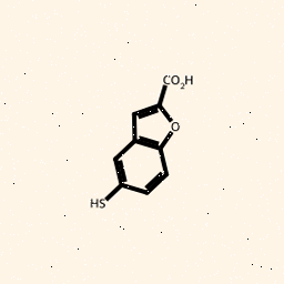 O=C(O)c1cc2cc(S)ccc2o1